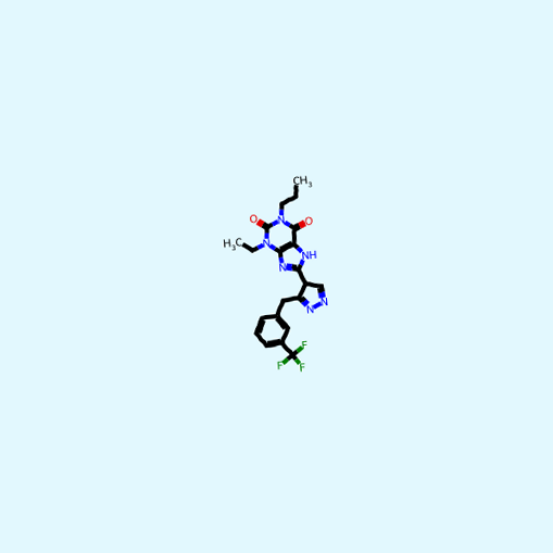 CCCn1c(=O)c2[nH]c(C3C=NN=C3Cc3cccc(C(F)(F)F)c3)nc2n(CC)c1=O